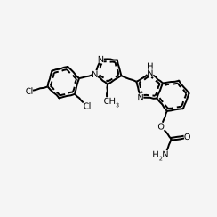 Cc1c(-c2nc3c(OC(N)=O)cccc3[nH]2)cnn1-c1ccc(Cl)cc1Cl